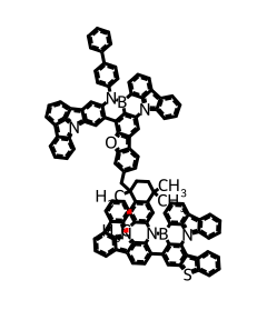 Cc1cc2c(cc1N1B3c4c(cc5sc6ccccc6c5c4-n4c5ccccc5c5cccc3c54)-c3ccc4c5cccc6c7ccccc7n(c4c31)c65)C(C)(C)CCC2(C)Cc1ccc2c(c1)oc1c3c4c(cc12)-n1c2ccccc2c2cccc(c21)B4N(c1ccc(-c2ccccc2)cc1)c1cc2c4cccc5c6ccccc6n(c2cc1-3)c54